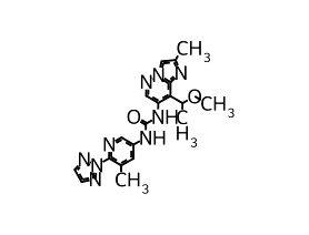 COC(C)c1c(NC(=O)Nc2cnc(-n3nccn3)c(C)c2)cnn2cc(C)nc12